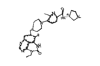 CCN1C(=O)Nc2c(F)c(CN3CCN(c4ccc(C(=O)N[C@@H]5CCN(C)C5)nc4C)CC3)cc3ncnc1c23